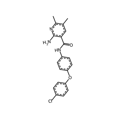 Cc1cc(C(=O)Nc2ccc(Oc3ccc(Cl)cc3)cc2)c(N)nc1C